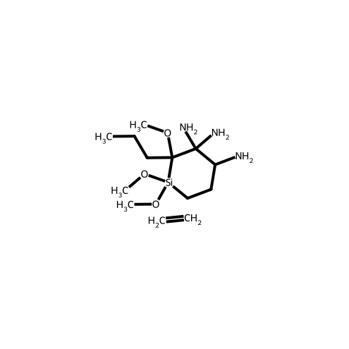 C=C.CCCC1(OC)C(N)(N)C(N)CC[Si]1(OC)OC